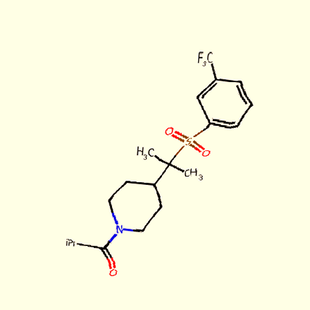 CC(C)C(=O)N1CCC(C(C)(C)S(=O)(=O)c2cccc(C(F)(F)F)c2)CC1